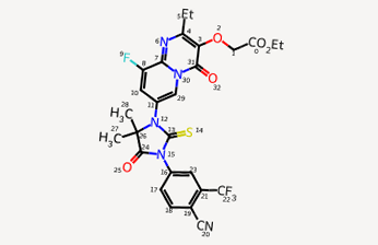 CCOC(=O)COc1c(CC)nc2c(F)cc(N3C(=S)N(c4ccc(C#N)c(C(F)(F)F)c4)C(=O)C3(C)C)cn2c1=O